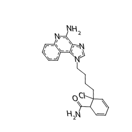 NC(=O)C1C=CC=CC1(Cl)CCCCn1cnc2c(N)nc3ccccc3c21